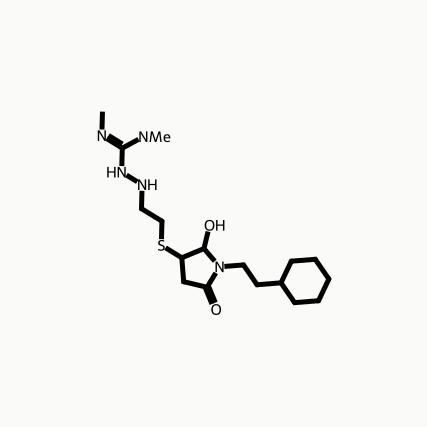 C/N=C(\NC)NNCCSC1CC(=O)N(CCC2CCCCC2)C1O